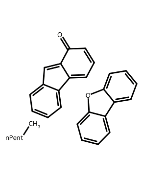 CCCCCC.O=C1C=CC=C2C1=Cc1ccccc12.c1ccc2c(c1)oc1ccccc12